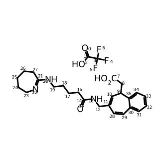 O=C(O)C(F)(F)F.O=C(O)CC1C=C(CNC(=O)CCCCNC2=NCCCCC2)C=Cc2ccccc21